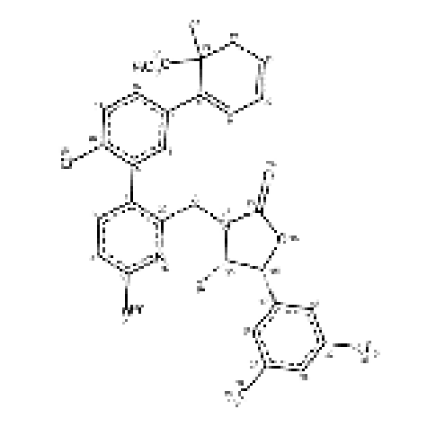 CCCc1ccc(-c2cc(C3=CC=CCC3(C)C(=O)O)ccc2Cl)c(CN2C(=O)O[C@H](c3cc(C(F)(F)F)cc(C(F)(F)F)c3)[C@@H]2C)n1